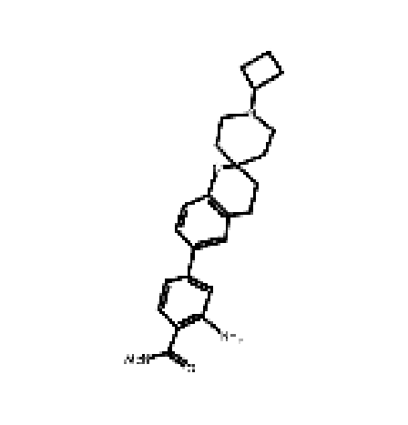 CNC(=O)c1ccc(-c2ccc3c(c2)CCC2(CCN(C4CCC4)CC2)O3)cc1N